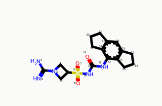 N=C(N)N1CC(S(=O)(=O)NC(=O)Nc2c3c(cc4c2CCC4)CCC3)C1